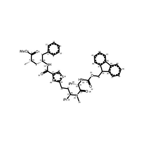 COC(=O)[C@@H](C)C[C@H](Cc1ccccc1)NC(=O)c1csc(CC[C@H](C(C)C)N(C)C(=O)[C@@H](NC(=O)OCC2c3ccccc3-c3ccccc32)C(C)C)n1